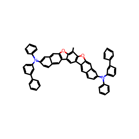 Cc1c2oc3cc4cc(N(c5ccccc5)c5cccc(-c6ccccc6)c5)ccc4cc3c2cc2c1oc1cc3cc(N(c4ccccc4)c4cccc(-c5ccccc5)c4)ccc3cc12